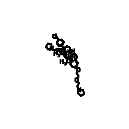 C[C@]12CC[C@H](OCCOCCN3CCCC3)C=C1CC[C@@H]1[C@@H]2CC[C@@]2(C)[C@H]1CC[C@@]2(OCCN1CCCC1)c1ccc(Cl)cc1